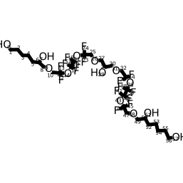 OCCCCCC(O)COCC(F)(F)OC(F)(F)C(F)(F)OC(F)(F)COCC(O)COCC(F)(F)OC(F)(F)C(F)(F)OC(F)(F)COCC(O)CCCCCO